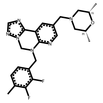 Cc1ccc(CN2Cn3ncnc3-c3cc(CN4C[C@@H](C)O[C@@H](C)C4)cnc32)c(F)c1F